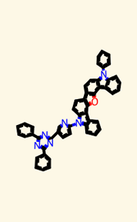 c1ccc(-c2nc(-c3ccccc3)nc(-c3ccc(-n4c5ccccc5c5c6oc7c(ccc8c7c7ccccc7n8-c7ccccc7)c6ccc54)nc3)n2)cc1